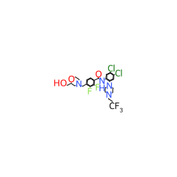 O=C(Nc1cc(Cl)c(Cl)cc1N1CCN(CCC(F)(F)F)CC1)c1ccc(CN2CCOC(CO)C2)c(F)c1F